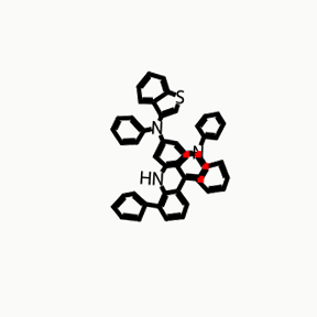 c1ccc(-c2cccc(-c3ccccc3)c2Nc2cc(N(c3ccccc3)c3ccccc3)cc(N(c3ccccc3)c3csc4ccccc34)c2)cc1